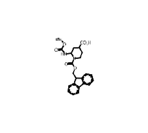 CC(C)(C)OC(=O)NC1CC(C(=O)O)CCN1C(=O)OCC1c2ccccc2-c2ccccc21